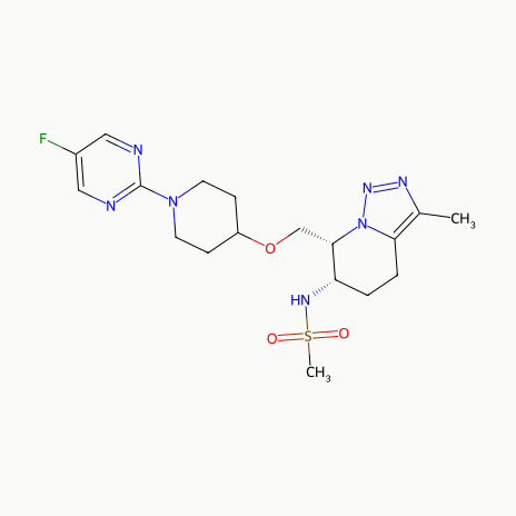 Cc1nnn2c1CC[C@H](NS(C)(=O)=O)[C@@H]2COC1CCN(c2ncc(F)cn2)CC1